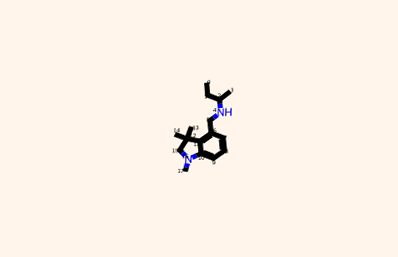 CCC(C)NCc1cccc2c1C(C)(C)CN2C